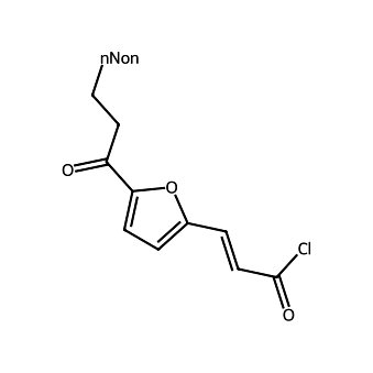 CCCCCCCCCCCC(=O)c1ccc(/C=C/C(=O)Cl)o1